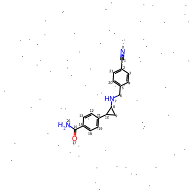 N#Cc1ccc(CNC2CC2c2ccc(C(N)=O)cc2)cc1